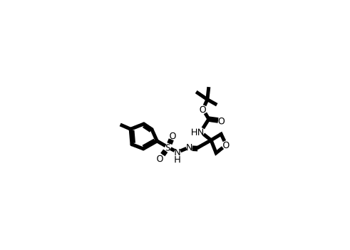 Cc1ccc(S(=O)(=O)NN=CC2(NC(=O)OC(C)(C)C)COC2)cc1